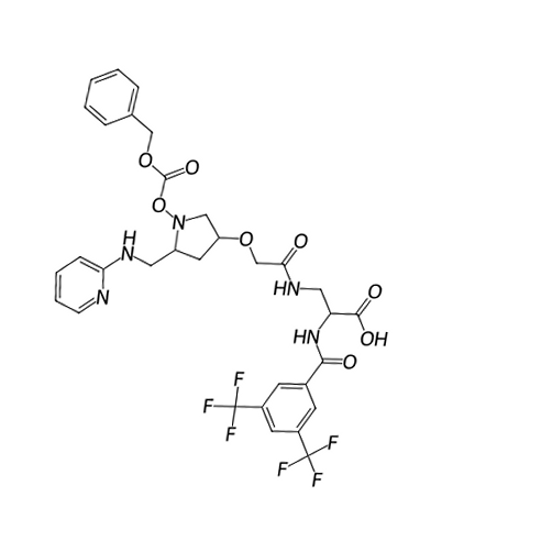 O=C(COC1CC(CNc2ccccn2)N(OC(=O)OCc2ccccc2)C1)NCC(NC(=O)c1cc(C(F)(F)F)cc(C(F)(F)F)c1)C(=O)O